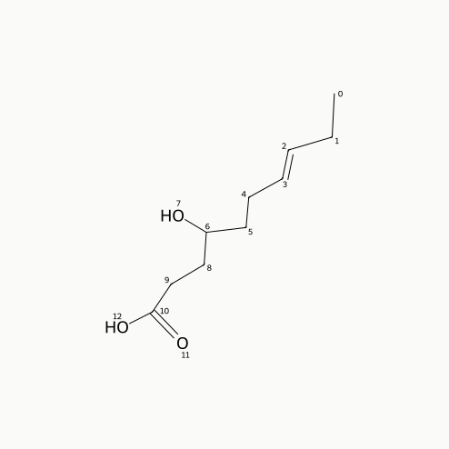 CCC=CCCC(O)CCC(=O)O